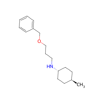 C[C@H]1CC[C@H](NCCCOCc2ccccc2)CC1